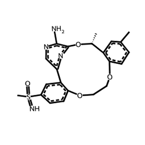 Cc1ccc2c(c1)[C@@H](C)Oc1nc(cnc1N)-c1cc(S(C)(=N)=O)ccc1OCCO2